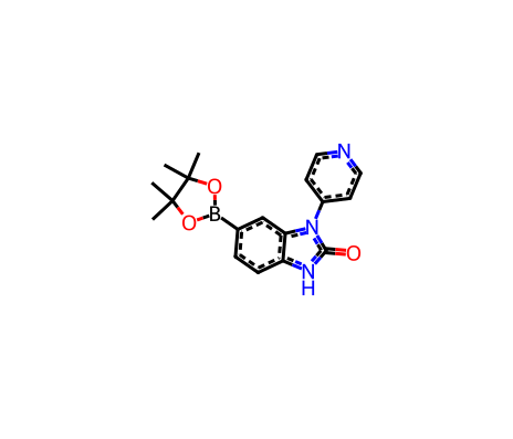 CC1(C)OB(c2ccc3[nH]c(=O)n(-c4ccncc4)c3c2)OC1(C)C